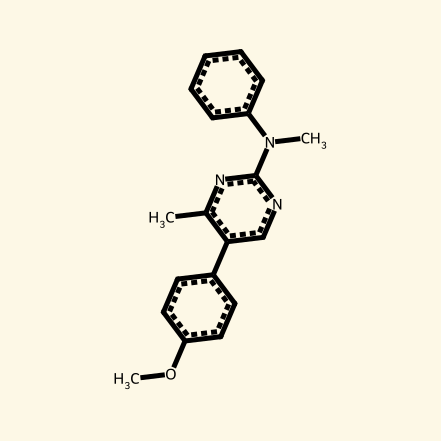 COc1ccc(-c2cnc(N(C)c3ccccc3)nc2C)cc1